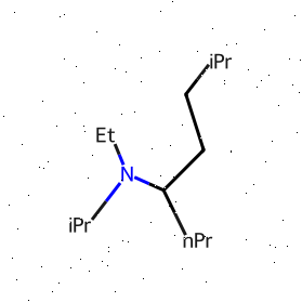 CCCC(CCC(C)C)N(CC)C(C)C